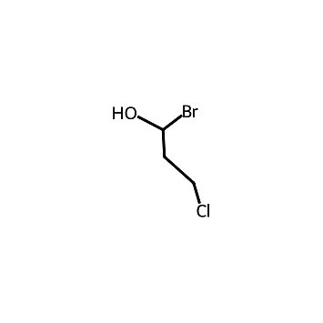 OC(Br)CCCl